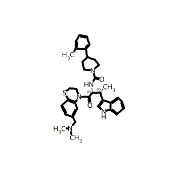 Cc1ccccc1C1CCN(C(=O)N[C@@H](C(=O)N2CCSc3ccc(CN(C)C)cc32)[C@H](C)c2c[nH]c3ccccc23)CC1